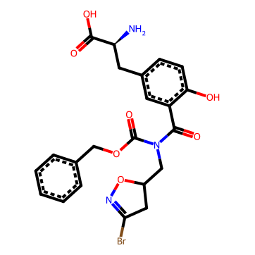 N[C@@H](Cc1ccc(O)c(C(=O)N(CC2CC(Br)=NO2)C(=O)OCc2ccccc2)c1)C(=O)O